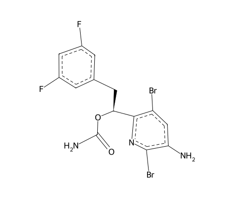 NC(=O)O[C@@H](Cc1cc(F)cc(F)c1)c1nc(Br)c(N)cc1Br